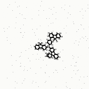 CC1(C)c2ccccc2-c2ccc(N(c3ccc(-c4cccc5c4C(C)(C)c4ccccc4-5)cc3)c3ccc4c(c3)C3(CC5CCC3C5)c3ccccc3-4)cc21